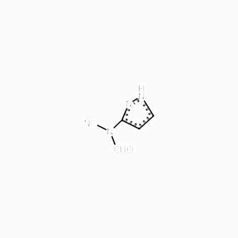 N#CN([C]=O)c1cc[nH]n1